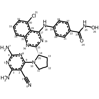 N#Cc1c(N)nc(N)nc1N1CCC[C@H]1c1nc(Nc2ccc(C(=O)NO)cc2)c2c(Cl)cccc2n1